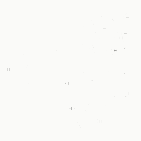 Cc1cc(C(C)(C)C)ccc1-c1cccc2c1C=C[CH]2[Hf]([CH3])([CH3])(=[SiH2])([CH](C)C)([CH](C)C)[CH]1C=Cc2c(-c3ccc(C(C)(C)C)cc3C)cccc21